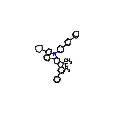 CC1(C)c2ccc(-c3ccccc3)cc2-c2cc(-c3ccccc3)c(N(c3ccc(-c4ccc(C5CC6CCC5C6)cc4)cc3)c3ccc(C4CCCCC4)cc3)cc21